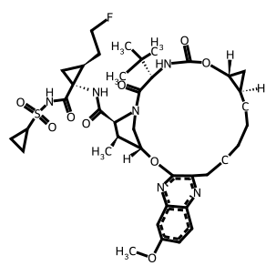 COc1ccc2nc3c(nc2c1)O[C@H]1CN(C(=O)[C@H](C(C)(C)C)NC(=O)O[C@@H]2C[C@H]2CCCCC3)[C@H](C(=O)N[C@]2(C(=O)NS(=O)(=O)C3CC3)C[C@H]2CCF)[C@@H]1C